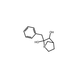 OC1C2CCN(C2)C1(O)Cc1ccccc1